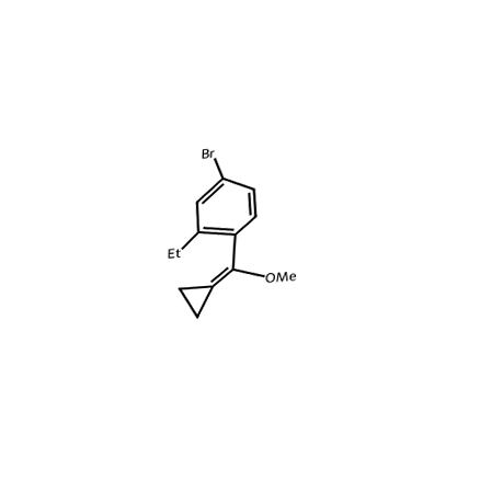 CCc1cc(Br)ccc1C(OC)=C1CC1